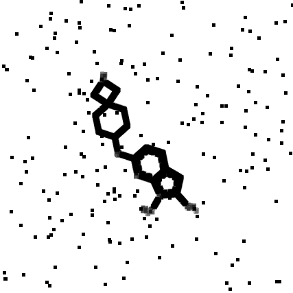 Cc1cc2ccc(OC3CCC4(CC3)CNC4)nc2n1C